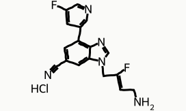 Cl.N#Cc1cc(-c2cncc(F)c2)c2ncn(CC(F)=CCN)c2c1